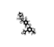 O=S(=O)(Nc1ncns1)c1cc(F)c(Oc2cc(C3COC3)cc(C(F)(F)F)c2)cc1F